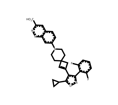 O=C(O)c1cc2ccc(N3CCC4(C=C(c5c(-c6c(F)cccc6F)noc5C5CC5)C4)CC3)cc2nn1